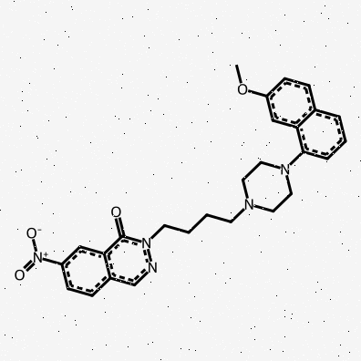 COc1ccc2cccc(N3CCN(CCCCn4ncc5ccc([N+](=O)[O-])cc5c4=O)CC3)c2c1